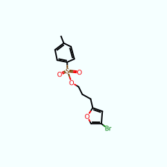 Cc1ccc(S(=O)(=O)OCCCc2cc(Br)co2)cc1